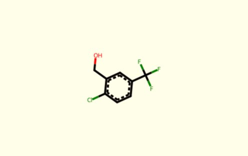 OCc1cc(C(F)(F)F)ccc1Cl